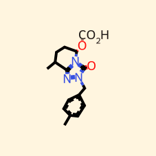 Cc1ccc(Cn2nc3n(c2=O)C(OC(=O)O)CCC3C)cc1